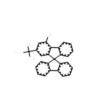 CC(C)(C)c1cc(Cl)c2c(c1)C1(c3ccccc3-c3ccccc31)c1ccccc1-2